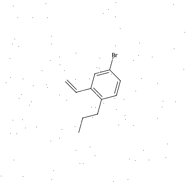 C=Cc1cc(Br)ccc1CCC